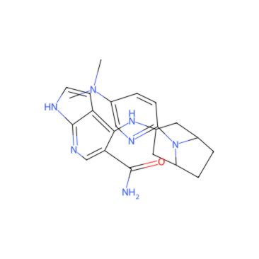 CN(C)c1ccc(N2C3CCC2CC(Nc2c(C(N)=O)cnc4[nH]ccc24)C3)nc1